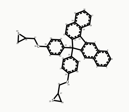 c1ccc2cc3c(cc2c1)-c1c(ccc2ccccc12)C3(c1ccc(OCC2CS2)cc1)c1ccc(OCC2CS2)cc1